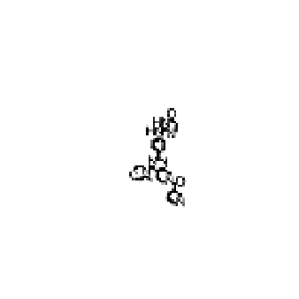 CC1COCCN1c1nc(-c2ccc(Nc3nccc(=O)[nH]3)cc2)nc2c1CCN(C(=O)c1cccnc1)C2